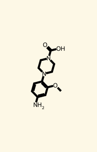 COc1cc(N)ccc1N1CCN(C(=O)O)CC1